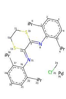 CC(C)c1cccc(C(C)C)c1N=C1SCCSC1=Nc1c(C(C)C)cccc1C(C)C.CCl.[Pd]